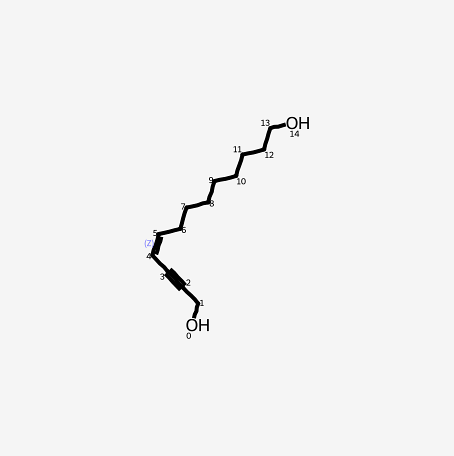 OCC#C/C=C\CCCCCCCCO